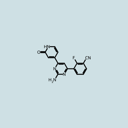 N#Cc1cccc(-c2cc(-c3cc[nH]c(=O)c3)nc(N)n2)c1F